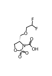 O=C(O)N1[C@@H](COCC(F)F)COS1(=O)=O